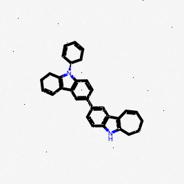 C1=CC[C@@H](n2c3c(c4cc(-c5ccc6[nH]c7c(c6c5)C=CCCC7)ccc42)C=CCC3)C=C1